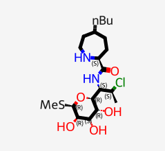 CCCCC1CCN[C@H](C(=O)N[C@@H]([C@H]2O[C@H](SC)[C@H](O)[C@@H](O)[C@H]2O)[C@H](C)Cl)CC1